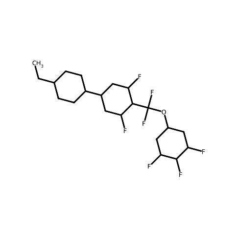 CCC1CCC(C2CC(F)C(C(F)(F)OC3CC(F)C(F)C(F)C3)C(F)C2)CC1